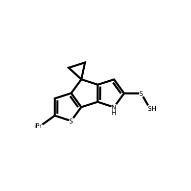 CC(C)c1cc2c(s1)-c1[nH]c(SS)cc1C21CC1